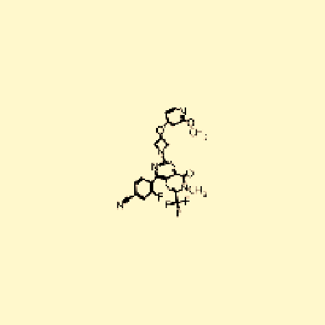 COc1cc(OC2CN(c3nc(-c4ccc(C#N)cc4F)c4nc(C(F)(F)F)n(C)c(=O)c4n3)C2)ccn1